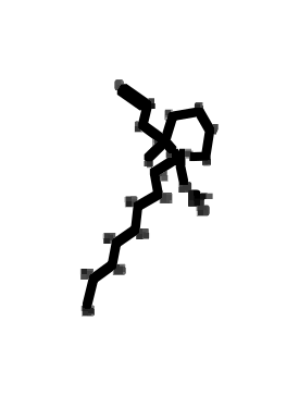 C=CCC1(C)CCCC[N+]1(C)CCCCCCCC.[Br-]